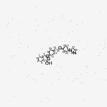 O=C(O)c1ccccc1COc1ccc(CCOc2ccc(-n3ccnc3)cc2)cc1